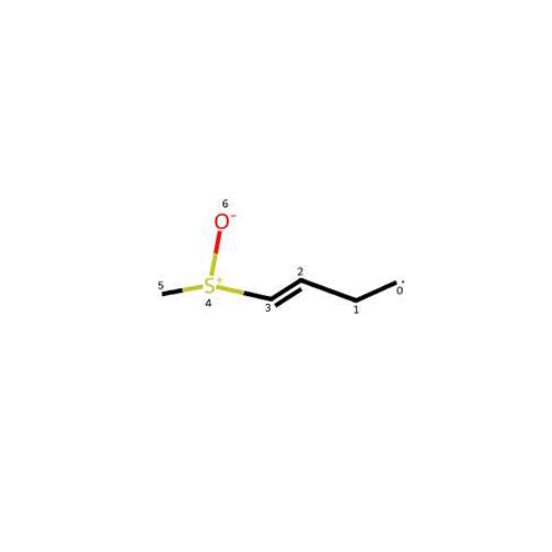 [CH2]CC=C[S+](C)[O-]